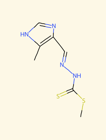 CSC(=S)N/N=C/c1nc[nH]c1C